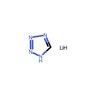 [LiH].c1nnn[nH]1